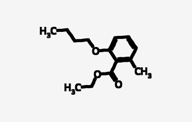 CCCCOc1cccc(C)c1C(=O)OCC